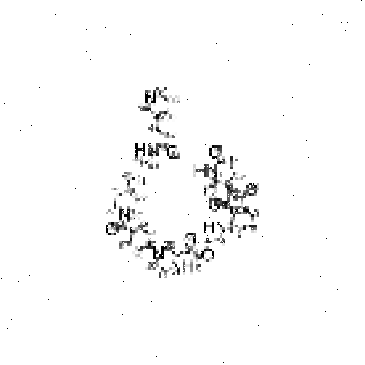 CC(OCCNc1cccc2c1C(=O)N(C1CCC(=O)NC1=O)C2=O)C(=O)C1CN(c2ccc(C(=O)N3CCC(CCCCNC(=O)/C=C/c4cccnc4)CC3)cc2)CCN1